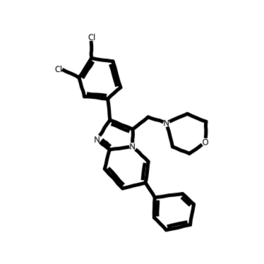 Clc1ccc(-c2nc3ccc(-c4ccccc4)cn3c2CN2CCOCC2)cc1Cl